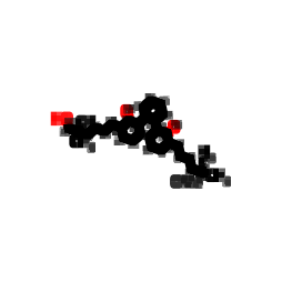 COC(C)(C)CCCCC1CCCC(c2ccccc2C2CCCC(CCCCC(C)(C)CO)C2=O)C1=O